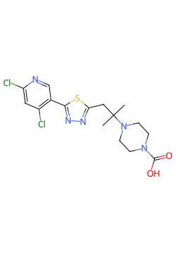 CC(C)(Cc1nnc(-c2cnc(Cl)cc2Cl)s1)N1CCN(C(=O)O)CC1